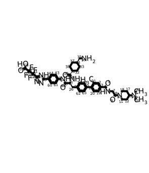 Cc1cc(C(=O)NCC(=O)N2CCC(N(C)C)CC2)ccc1-c1ccc(C[C@H](NC(=O)[C@H]2CC[C@H](CN)CC2)C(=O)Nc2ccc(-c3nnc(C(F)(F)C(F)(F)C(=O)O)[nH]3)cc2)cc1